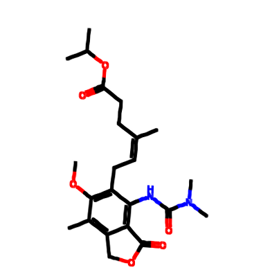 COc1c(C)c2c(c(NC(=O)N(C)C)c1CC=C(C)CCC(=O)OC(C)C)C(=O)OC2